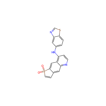 O=S1(=O)C=Cc2cc3nccc(Nc4ccc5scnc5c4)c3cc21